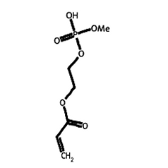 C=CC(=O)OCCOP(=O)(O)OC